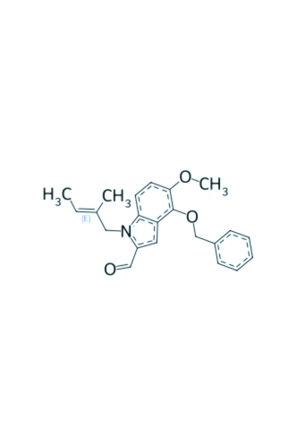 C/C=C(\C)Cn1c(C=O)cc2c(OCc3ccccc3)c(OC)ccc21